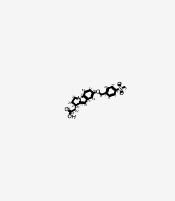 CS(=O)(=O)c1ccc(COc2ccc3c(c2)cc2n3CC[C@@H]2CC(=O)O)cc1